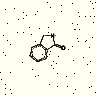 O=C1[N]Cc2ccccc21